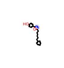 Oc1ccc(-c2nnc(CCCCCCc3ccccc3)o2)cc1